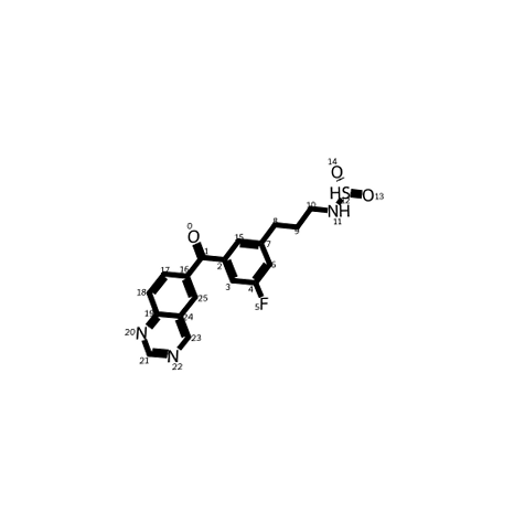 O=C(c1cc(F)cc(CCCN[SH](=O)=O)c1)c1ccc2ncncc2c1